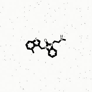 CBCCn1c(=O)n(Cc2csc3cccc(C)c23)c2ccccc21